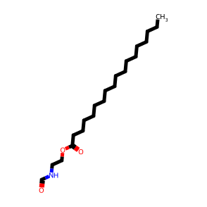 CCCCCCCCCCCCCCCCCC(=O)OCCNC=O